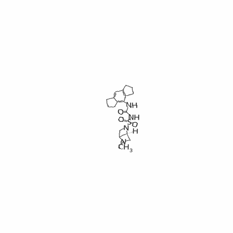 CN1C[C@H]2C1CN2S(=O)(=O)NC(=O)Nc1c2c(cc3c1CCC3)CCC2